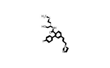 CSCC[C@@H](CO)NC(=O)c1ccc(C=CCn2ccnc2)cc1-c1ccc(F)cc1